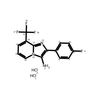 Cl.Cl.Nc1c(-c2ccc(F)cc2)nc2c(C(F)(F)F)cccn12